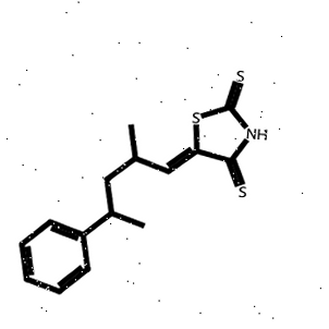 CC(C=C1SC(=S)NC1=S)CC(C)c1ccccc1